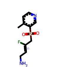 Cc1ccncc1S(=O)(=O)C/C(F)=C/CN